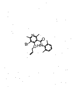 C=CCOc1c(Br)c(C)nc(C)c1C(=O)Nc1c(C)cccc1C